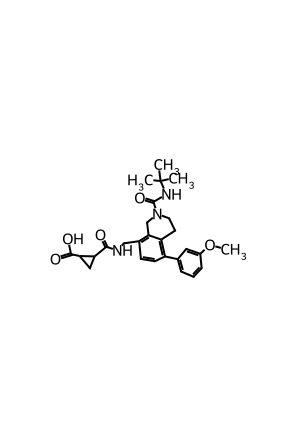 COc1cccc(-c2ccc(CNC(=O)C3CC3C(=O)O)c3c2CCN(C(=O)NC(C)(C)C)C3)c1